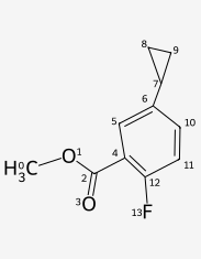 COC(=O)c1cc(C2CC2)ccc1F